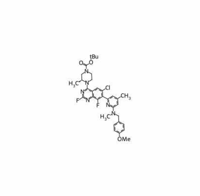 COc1ccc(CN(C)c2cc(C)cc(-c3c(Cl)cc4c(N5CCN(C(=O)OC(C)(C)C)C[C@@H]5C)nc(F)nc4c3F)n2)cc1